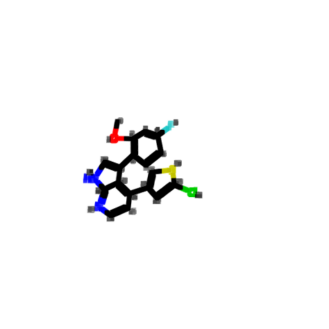 COc1cc(F)ccc1-c1c[nH]c2nccc(-c3csc(Cl)c3)c12